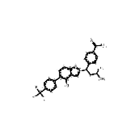 CC(C)CC(c1ccc(C(N)=O)cc1)n1cc2c(Cl)c(-c3ccc(C(F)(F)F)cc3)ccc2n1